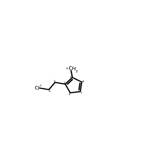 CC1=C(CCCl)CC=C1